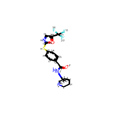 O=C(NC1CC2CCN(CC2)C1)c1ccc(Sc2ncc(C(F)(F)F)o2)cc1